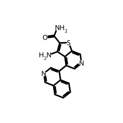 NC(=O)c1sc2cncc(-c3cncc4ccccc34)c2c1N